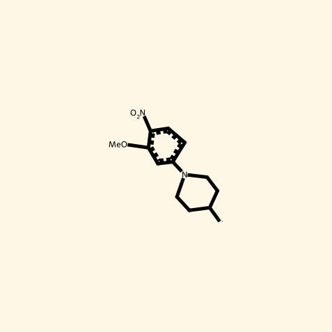 [CH2]C1CCN(c2ccc([N+](=O)[O-])c(OC)c2)CC1